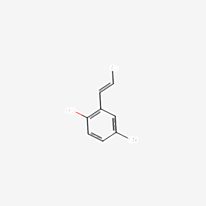 CC(=O)C=Cc1cc(C#N)ccc1O